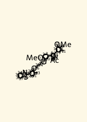 COc1ccc(-c2cc(-c3cc(C)c(C)c(OC)c3)nn2C(C)=O)cc1OCCCCOc1cc(-c2nc3ccccc3s2)ccc1C